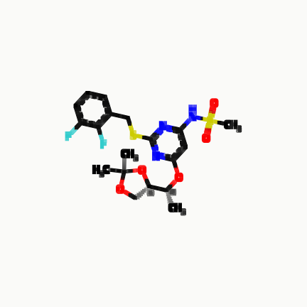 C[C@@H](Oc1cc(NS(C)(=O)=O)nc(SCc2cccc(F)c2F)n1)[C@@H]1COC(C)(C)O1